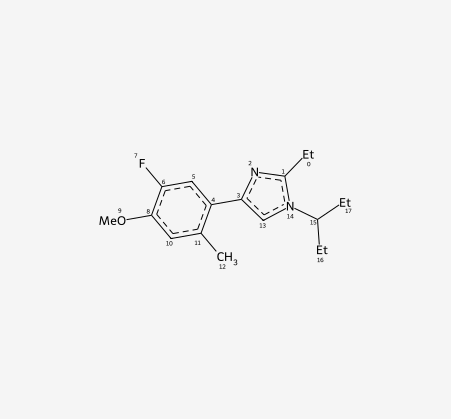 CCc1nc(-c2cc(F)c(OC)cc2C)cn1C(CC)CC